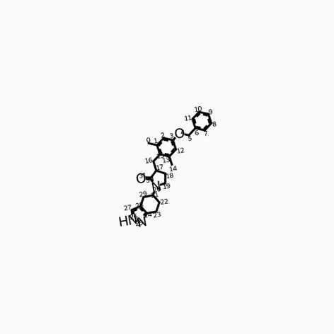 Cc1cc(OCc2ccccc2)cc(C)c1CC1CCN(C2CCc3n[nH]cc3C2)C1=O